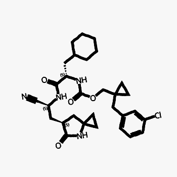 N#C[C@H](C[C@H]1CC2(CC2)NC1=O)NC(=O)[C@H](CC1CCCCC1)NC(=O)OCC1(Cc2cccc(Cl)c2)CC1